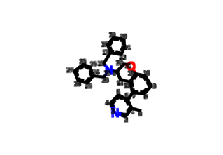 Cc1cnccc1-c1cccc2c1CC(N(Cc1ccccc1)Cc1ccccc1)CO2